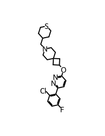 Fc1ccc(Cl)c(-c2ccc(OC3CC4(CCN(CC5CCSCC5)CC4)C3)nn2)c1